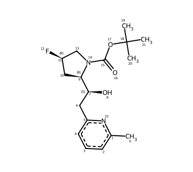 Cc1cccc(C[C@H](O)[C@H]2C[C@@H](F)CN2C(=O)OC(C)(C)C)n1